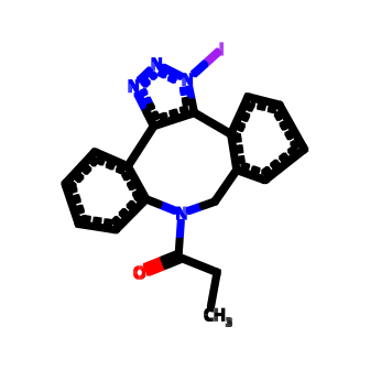 CCC(=O)N1Cc2ccccc2-c2c(nnn2I)-c2ccccc21